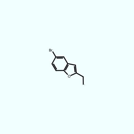 [CH2]Cc1cc2cc(Br)ccc2o1